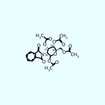 CC(=O)OC[C@H]1OC(OC(C)=O)[C@H](N2C(=O)c3ccccc3C2=O)[C@H](OC(C)=O)[C@@H]1OC(C)=O